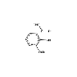 CCOC=O.COc1ccccc1O